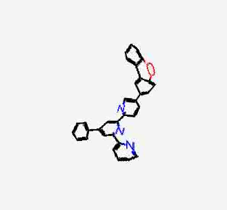 c1ccc(-c2cc(-c3ccccn3)nc(-c3ccc(-c4ccc5oc6ccccc6c5c4)cn3)c2)cc1